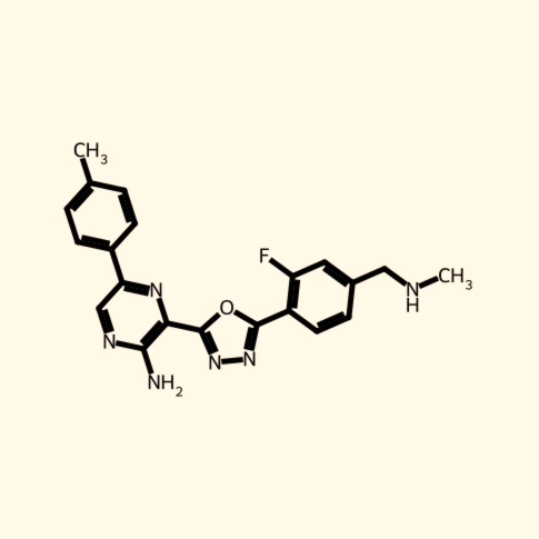 CNCc1ccc(-c2nnc(-c3nc(-c4ccc(C)cc4)cnc3N)o2)c(F)c1